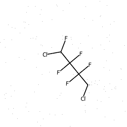 F[C](Cl)C(F)(F)C(F)(F)[CH]Cl